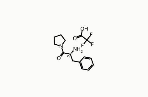 N[C@@H](Cc1ccccc1)C(=O)N1CCCC1.O=C(O)C(F)(F)F